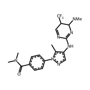 CNC1N=C(Nc2cnn(-c3ccc(C(=O)N(C)C)cc3)c2C)N=CC1C(F)(F)F